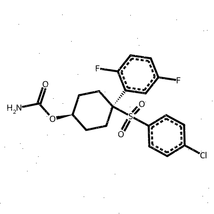 NC(=O)O[C@H]1CC[C@@](c2cc(F)ccc2F)(S(=O)(=O)c2ccc(Cl)cc2)CC1